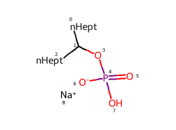 CCCCCCCC(CCCCCCC)OP(=O)([O-])O.[Na+]